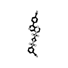 N#Cc1ccc(-c2cncc3c2OCCN3S(=O)(=O)C2CN(S(=O)(=O)c3cccc(C#N)c3)C2)cc1